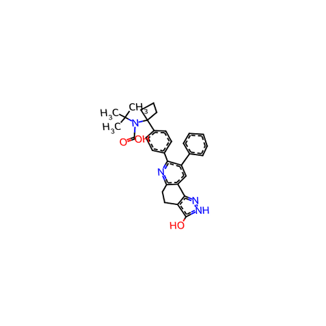 CC(C)(C)N(C(=O)O)C1(c2ccc(-c3nc4c(cc3-c3ccccc3)-c3n[nH]c(O)c3CC4)cc2)CCC1